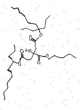 CCCCCCC(CCC)OC(=O)CC(O)(CC(=O)OC(CCC)(CCC)CCCCCC)C(=O)OCCCCC